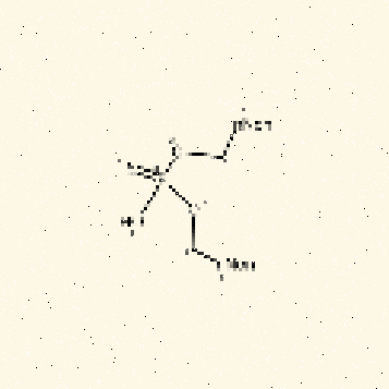 CCCCCCCCCCOP(O)(=S)OCCCCCCCCCC